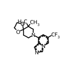 CC1(C)CN(c2cc(C(F)(F)F)cn3cncc23)CCC12OCCO2